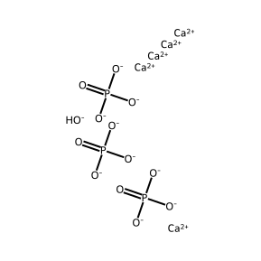 O=P([O-])([O-])[O-].O=P([O-])([O-])[O-].O=P([O-])([O-])[O-].[Ca+2].[Ca+2].[Ca+2].[Ca+2].[Ca+2].[OH-]